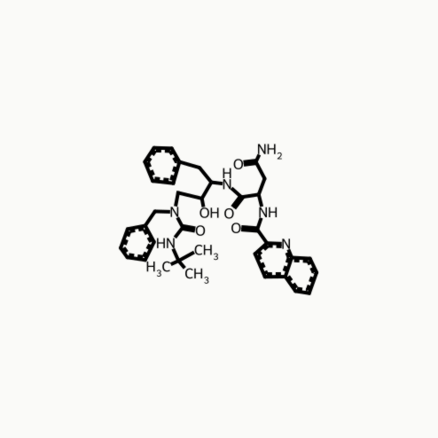 CC(C)(C)NC(=O)N(Cc1ccccc1)CC(O)C(Cc1ccccc1)NC(=O)C(CC(N)=O)NC(=O)c1ccc2ccccc2n1